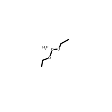 CCOOOCC.P